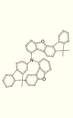 CC1(C)c2ccccc2-c2ccc(N(c3cccc4oc5ccccc5c34)c3cccc4oc5c6c(ccc5c34)C(C)(C)c3ccccc3-6)cc21